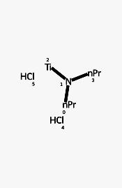 CCC[N]([Ti])CCC.Cl.Cl